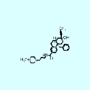 CC#C[C@@]1(O)CC[C@@]2(Cc3ccccc3)c3ccc(C(=O)NCCCN4CCN(C)CC4)cc3CC[C@@H]2C1